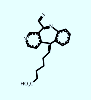 O=C(O)CCCCC=C1c2ccccc2N=C(C=S)c2cnccc21